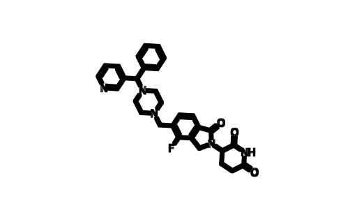 O=C1CCC(N2Cc3c(ccc(CN4CCN(C(c5ccccc5)c5cccnc5)CC4)c3F)C2=O)C(=O)N1